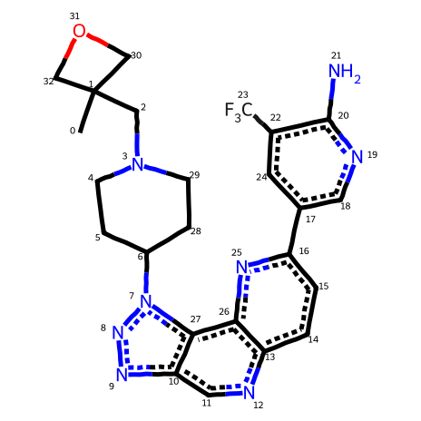 CC1(CN2CCC(n3nnc4cnc5ccc(-c6cnc(N)c(C(F)(F)F)c6)nc5c43)CC2)COC1